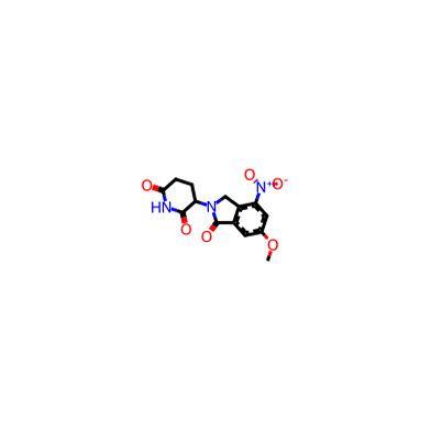 COc1cc2c(c([N+](=O)[O-])c1)CN(C1CCC(=O)NC1=O)C2=O